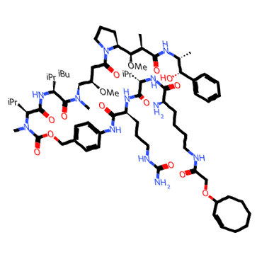 CC[C@H](C)[C@@H]([C@@H](CC(=O)N1CCC[C@H]1[C@H](OC)[C@@H](C)C(=O)N[C@H](C)[C@@H](O)c1ccccc1)OC)N(C)C(=O)[C@@H](NC(=O)[C@H](C(C)C)N(C)C(=O)OCc1ccc(NC(=O)[C@H](CCCNC(N)=O)NC(=O)[C@@H](NC(=O)[C@H](N)CCCCNC(=O)COC2/C=C\CCCCC2)C(C)C)cc1)C(C)C